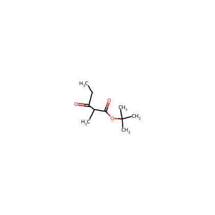 CCC(=O)C(C)C(=O)OC(C)(C)C